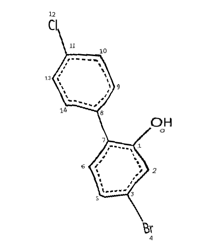 Oc1cc(Br)ccc1-c1ccc(Cl)cc1